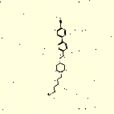 CCCCCC[C@H]1CC[C@H](CCc2ccc(-c3ccc(C#N)cn3)cc2)CC1